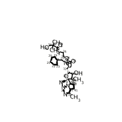 Cc1ncnn2c([C@]3(C#N)O[C@H](COP(=O)(NCc4ccccc4)OCCSC(=O)C(C)(C)CO)[C@@H](O)[C@@]3(C)F)ccc12